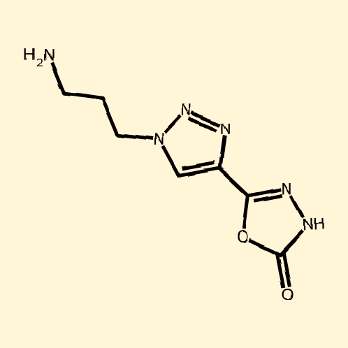 NCCCn1cc(-c2n[nH]c(=O)o2)nn1